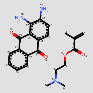 C=C(C)C(=O)OCCN(C)C.Nc1ccc2c(c1N)C(=O)c1ccccc1C2=O